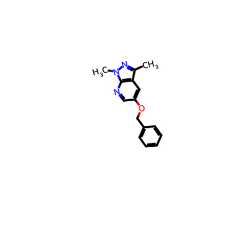 Cc1nn(C)c2ncc(OCc3ccccc3)cc12